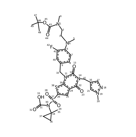 CN(CCN(C)c1ccc(Cn2c(=O)n(Cc3cnn(C)c3)c(=O)c3cc(S(=O)(=O)N(C(=O)O)C4(C)CC4)sc32)cc1F)C(=O)OC(C)(C)C